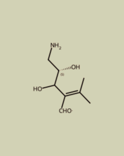 CC(C)=C([C]=O)C(O)[C@@H](O)CN